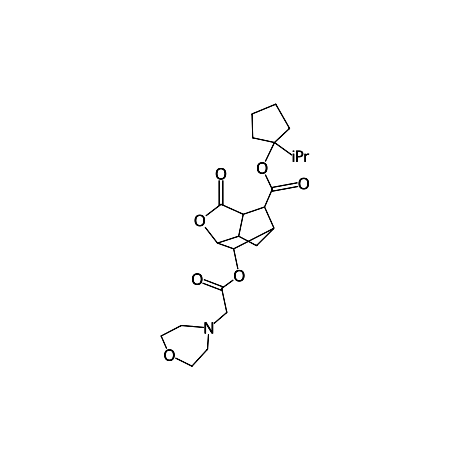 CC(C)C1(OC(=O)C2C3CC4C(OC(=O)C42)C3OC(=O)CN2CCOCC2)CCCC1